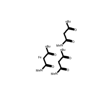 CCCCC(=O)CC(=O)NC.CCCCC(=O)CC(=O)NC.CCCCC(=O)CC(=O)NC.[Fe]